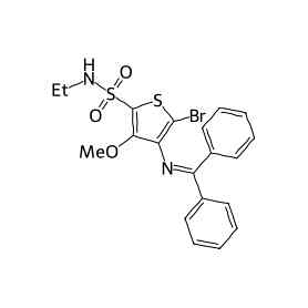 CCNS(=O)(=O)c1sc(Br)c(N=C(c2ccccc2)c2ccccc2)c1OC